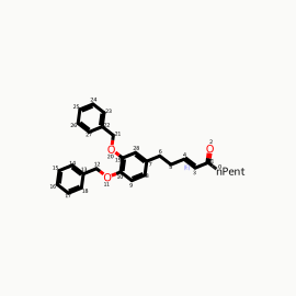 CCCCCC(=O)/C=C/CCc1ccc(OCc2ccccc2)c(OCc2ccccc2)c1